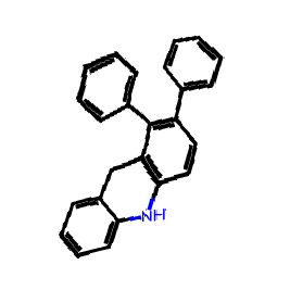 c1ccc(-c2ccc3c(c2-c2ccccc2)Cc2ccccc2N3)cc1